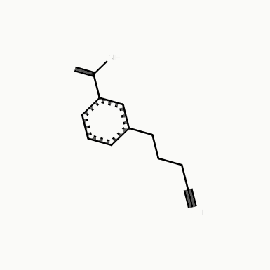 C#CCCCc1cccc(C(N)=O)c1